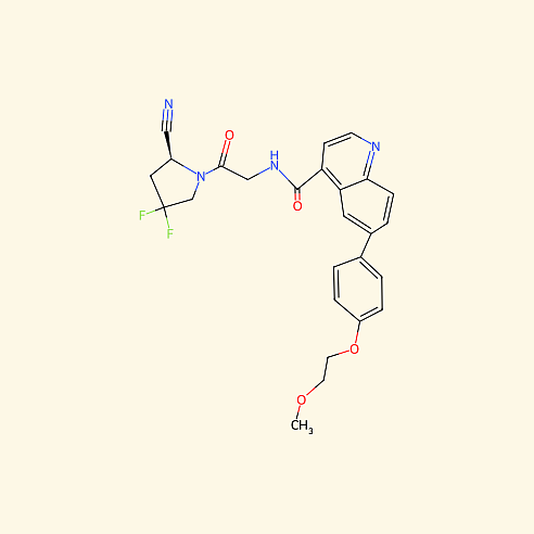 COCCOc1ccc(-c2ccc3nccc(C(=O)NCC(=O)N4CC(F)(F)C[C@H]4C#N)c3c2)cc1